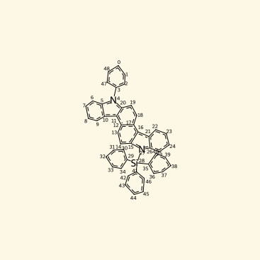 c1ccc(-n2c3ccccc3c3c4ccc5c(c4ccc32)c2ccccc2n5[Si](c2ccccc2)(c2ccccc2)c2ccccc2)cc1